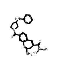 CCCN(CCC)C(=O)C1=Cc2ccc(C(=O)N3CCC(Nc4ccccc4)C3)cc2N=C(N)C1